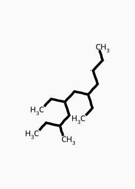 CC[CH]CC(CC)CC(CC)CC(C)CC